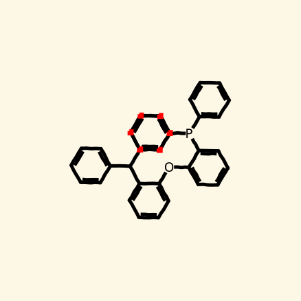 c1ccc(C(c2ccccc2)c2ccccc2Oc2ccccc2P(c2ccccc2)c2ccccc2)cc1